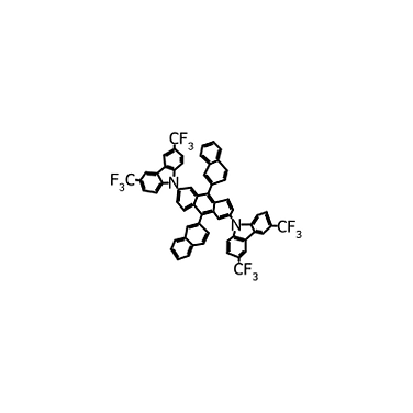 FC(F)(F)c1ccc2c(c1)c1cc(C(F)(F)F)ccc1n2-c1ccc2c(-c3ccc4ccccc4c3)c3cc(-n4c5ccc(C(F)(F)F)cc5c5cc(C(F)(F)F)ccc54)ccc3c(-c3ccc4ccccc4c3)c2c1